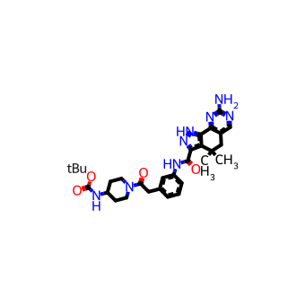 CC(C)(C)OC(=O)NC1CCN(C(=O)Cc2cccc(NC(=O)c3n[nH]c4c3C(C)(C)Cc3cnc(N)nc3-4)c2)CC1